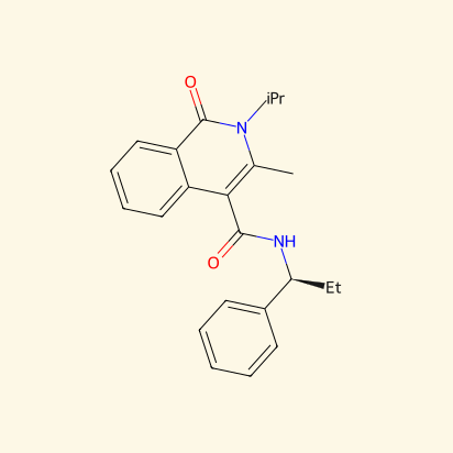 CC[C@H](NC(=O)c1c(C)n(C(C)C)c(=O)c2ccccc12)c1ccccc1